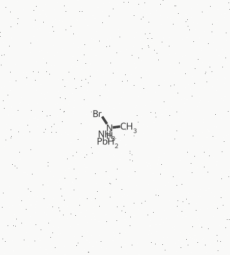 CNBr.N.[PbH2]